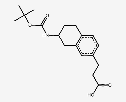 CC(C)(C)OC(=O)NC1CCc2ccc(CCC(=O)O)cc2C1